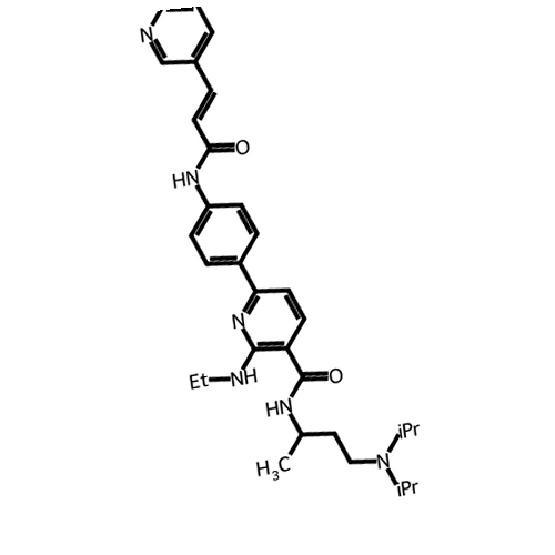 CCNc1nc(-c2ccc(NC(=O)/C=C/c3cccnc3)cc2)ccc1C(=O)NC(C)CCN(C(C)C)C(C)C